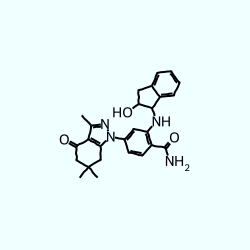 Cc1nn(-c2ccc(C(N)=O)c(NC3c4ccccc4CC3O)c2)c2c1C(=O)CC(C)(C)C2